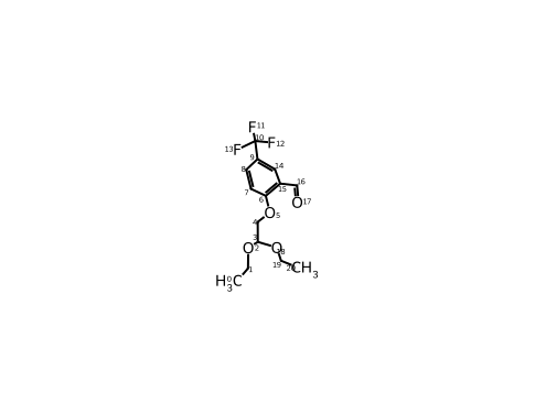 CCOC(COc1ccc(C(F)(F)F)cc1C=O)OCC